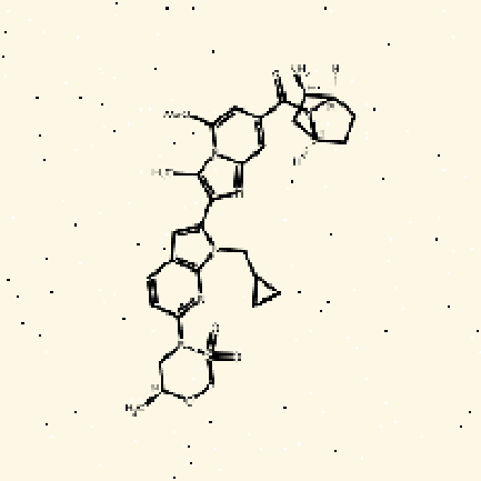 COc1cc(C(=O)N2[C@H]3CC[C@@H]2[C@H](N)C3)cc2nc(-c3cc4ccc(N5C[C@H](C)OCS5(=O)=O)nc4n3CC3CC3)c(C)n12